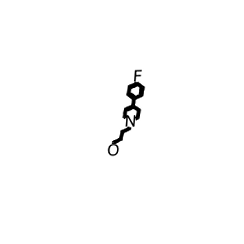 O=CCCCN1CC=C(c2ccc(F)cc2)CC1